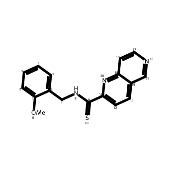 COc1ccccc1CNC(=S)c1ccc2cnccc2n1